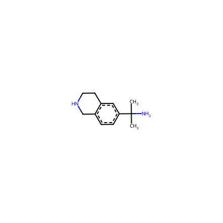 CC(C)(N)c1ccc2c(c1)CCNC2